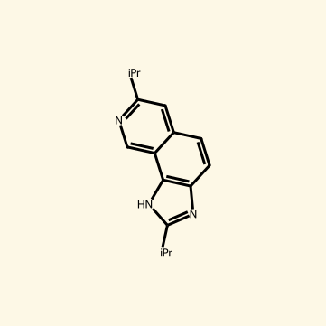 CC(C)c1cc2ccc3nc(C(C)C)[nH]c3c2cn1